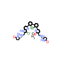 COc1nc(-c2cccc(-c3cccc(-c4ccc5[nH]c(CNC[C@@H]6CCC(=O)N6)c(Cl)c5n4)c3Cl)c2Cl)ccc1CNC[C@@H]1CCC(=O)N1